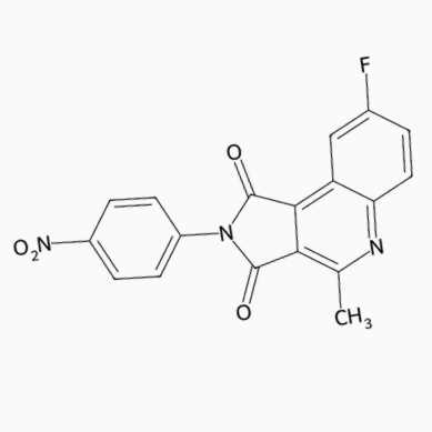 Cc1nc2ccc(F)cc2c2c1C(=O)N(c1ccc([N+](=O)[O-])cc1)C2=O